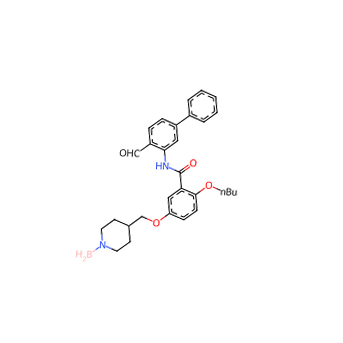 BN1CCC(COc2ccc(OCCCC)c(C(=O)Nc3cc(-c4ccccc4)ccc3C=O)c2)CC1